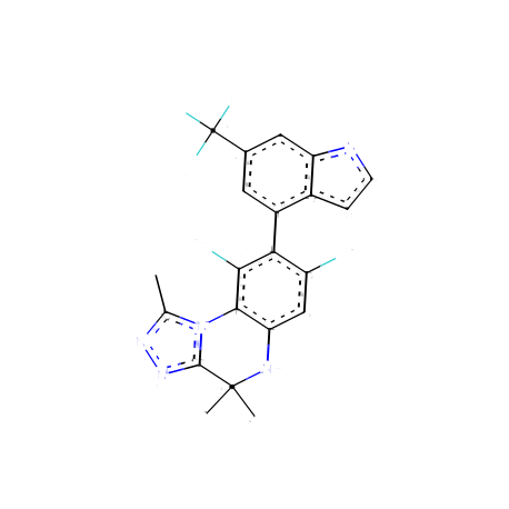 Cc1nnc2n1-c1c(cc(F)c(-c3cc(C(F)(F)F)cc4[nH]ccc34)c1F)NC2(C)C